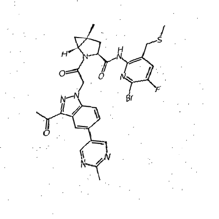 CSCc1cc(F)c(Br)nc1NC(=O)[C@@H]1C[C@@]2(C)C[C@H]2N1C(=O)Cn1nc(C(C)=O)c2cc(-c3cnc(C)nc3)ccc21